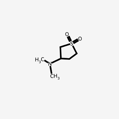 CN(C)C1CCS(=O)(=O)C1